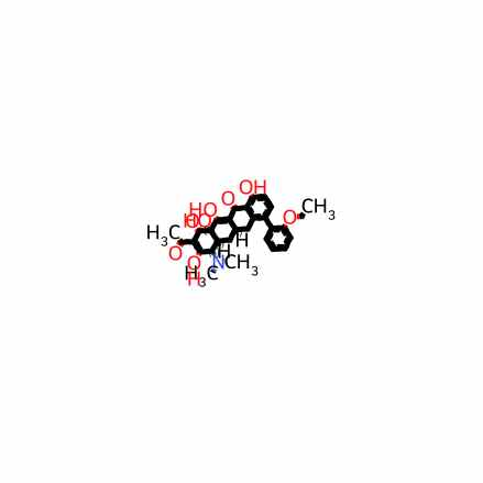 CCOc1ccccc1-c1ccc(O)c2c1C[C@H]1C[C@H]3[C@H](N(C)C)C(O)=C(C(C)=O)C(=O)[C@@]3(O)C(O)=C1C2=O